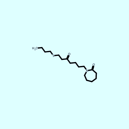 CCCCSCCC(=O)CCCCN1CCCCCC1=O